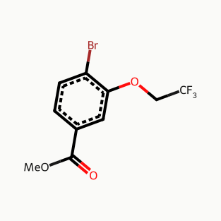 COC(=O)c1ccc(Br)c(OCC(F)(F)F)c1